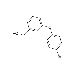 OCc1cccc(Oc2ccc(Br)cc2)c1